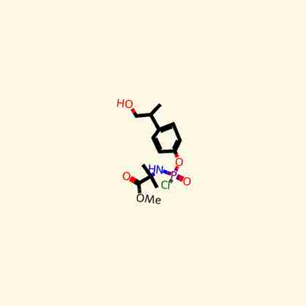 COC(=O)C(C)(C)NP(=O)(Cl)Oc1ccc(C(C)CO)cc1